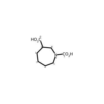 O=C(O)C1CCCCN(C(=O)O)C1